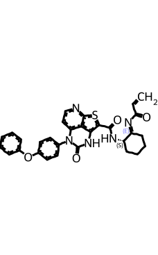 C=CC(=O)/N=C1\CCCC[C@@H]1NC(=O)c1sc2nccc3c2c1NC(=O)N3c1ccc(Oc2ccccc2)cc1